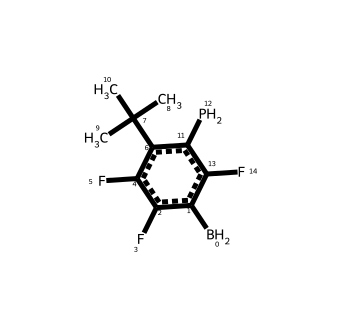 Bc1c(F)c(F)c(C(C)(C)C)c(P)c1F